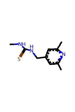 CNC(=S)NCc1cc(C)nc(C)c1